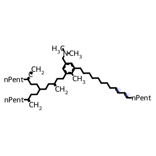 C=C=C(CCCCC)CCC(CCC(=C)CCCCC)CCC(=C)CCc1cc(CN(C)C)cc(CCCCCCCC/C=C/C=C/CCCCC)c1C